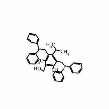 Cc1c(CO)c(C)c(CP(c2ccccc2)c2ccccc2)c(C(C)C)c1CP(c1ccccc1)c1ccccc1